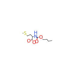 CCCCOC(=O)NC(CCSC)C(=O)OC